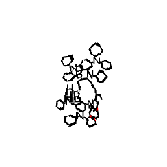 C\C=C/C1=C(CC)/C=C\C2=C(/C=C/Bc3c(Nc4ccccc4)cc(N(c4ccccc4)c4ccccc4)cc3N1c1ccccc1)B1C3=C(CC=C(N(C4=C/CC#CC/C=C\4)c4ccccc4)C=C3N2c2ccccc2)N(C2C=CCCC2)c2ccccc21